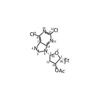 CC[C@H]1O[C@@H](n2cnc3c(Cl)nc(Cl)nc32)CC1OC(C)=O